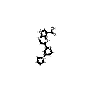 O=C(O)c1c[nH]c2ncc(-c3cc(-n4cccc4)ccn3)nc12